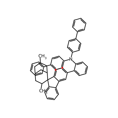 CC1CC2CC(C)C3(c4ccccc4-c4cc(-c5ccccc5N(c5ccc(-c6ccccc6)cc5)c5ccc(-c6ccccc6)cc5)ccc43)C(C1)C2